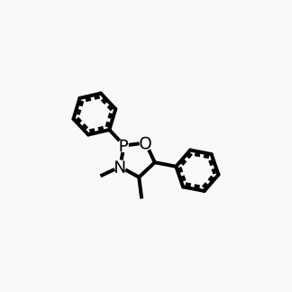 CC1C(c2ccccc2)OP(c2ccccc2)N1C